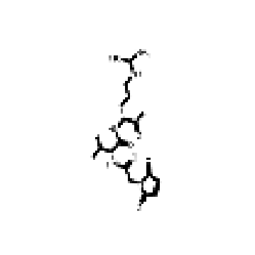 CC(=O)[C@@H](CCCNC(N)O)NC(=O)[C@H](NC(=O)CN1C(=O)C=CC1=O)C(C)C